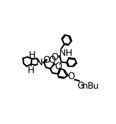 CCCCOCCOc1ccc(CC(CC(=O)N2C[C@H]3CCCC[C@H]3C2)C(=O)O[C@H](C(=O)NCc2ccccc2)c2ccccc2)cc1